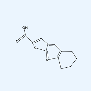 O=C(O)c1cc2cc3c(nc2s1)CCCC3